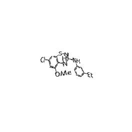 CCc1cccc(NC2=NSc3cc(Cl)cc(OC)c3N2)c1